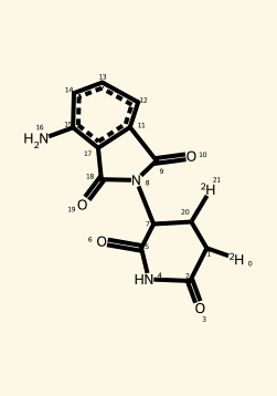 [2H]C1C(=O)NC(=O)C(N2C(=O)c3cccc(N)c3C2=O)C1[2H]